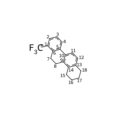 FC(F)(F)c1cccc2c1CCc1c-2ccc2c1CCCC2